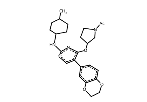 CC(=O)N1CCC(Oc2nc(NC3CCC(C)CC3)ncc2-c2ccc3c(c2)OCCO3)C1